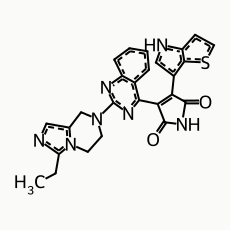 CCc1ncc2n1CCN(c1nc(C3=C(c4c[nH]c5ccsc45)C(=O)NC3=O)c3ccccc3n1)C2